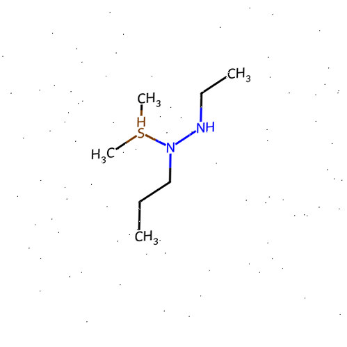 CCCN(NCC)[SH](C)C